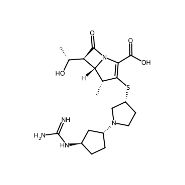 C[C@@H](O)[C@H]1C(=O)N2C(C(=O)O)=C(S[C@@H]3CCN([C@@H]4CC[C@@H](NC(=N)N)C4)C3)[C@H](C)[C@H]12